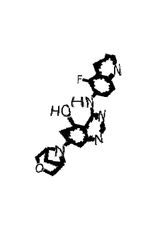 Oc1cc(N2C3COCC2C3)cc2ncnc(Nc3ccc4ncccc4c3F)c12